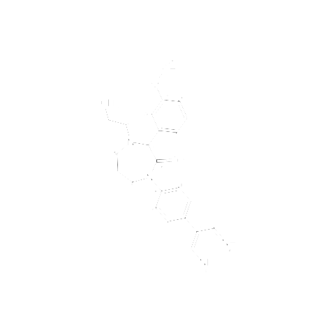 CCCN1CCCN(c2ccc(/C(C=N)=C/N)cc2)C(=O)C1c1cccc(OC)c1